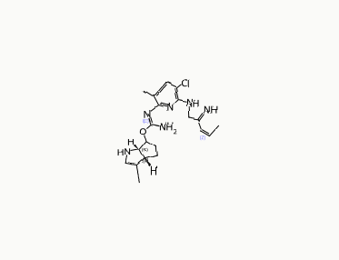 C/C=C\C(=N)CNc1nc(/N=C(\N)OC2CC[C@@H]3C(C)CN[C@H]23)c(C)cc1Cl